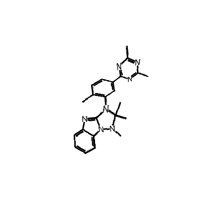 Cc1nc(C)nc(-c2ccc(C)c(N3c4nc5ccccc5n4N(C)C3(C)C)c2)n1